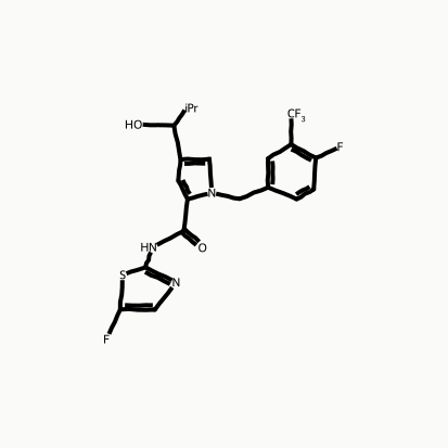 CC(C)C(O)c1cc(C(=O)Nc2ncc(F)s2)n(Cc2ccc(F)c(C(F)(F)F)c2)c1